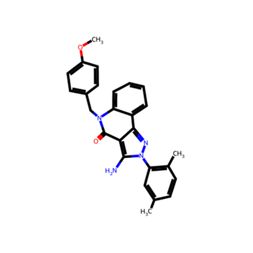 COc1ccc(Cn2c(=O)c3c(N)n(-c4cc(C)ccc4C)nc3c3ccccc32)cc1